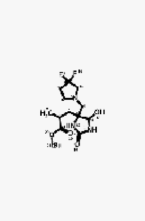 CC(CC1(CN2CCC(F)(F)C2)NC(=O)NC1O)C(=O)OC(C)(C)C